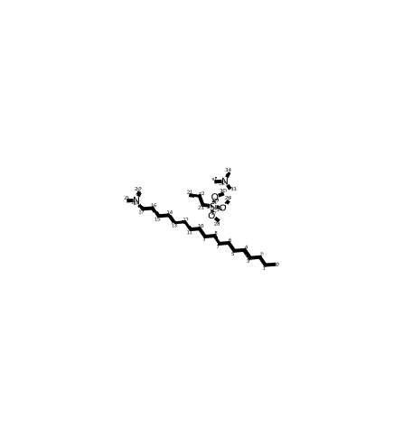 CCCCCCCCCCCCCCCCCCN(C)C.CCC[Si](OC)(OC)OC.CN(C)C